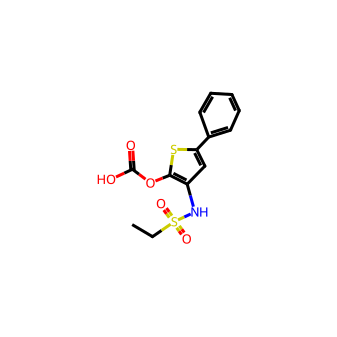 CCS(=O)(=O)Nc1cc(-c2ccccc2)sc1OC(=O)O